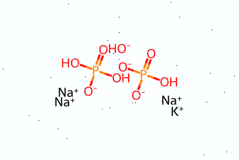 O=P([O-])(O)O.O=P([O-])([O-])O.[K+].[Na+].[Na+].[Na+].[OH-]